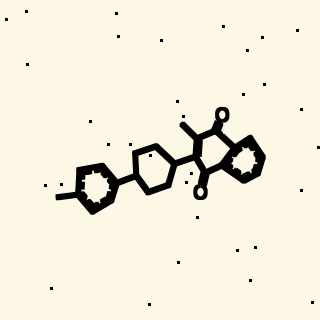 CC1=C(C2CCC(c3ccc(C)cc3)CC2)C(=O)c2ccccc2C1=O